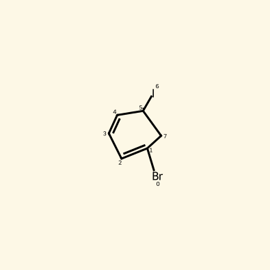 BrC1=CC=C[C](I)C1